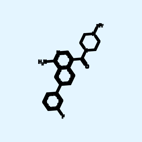 CCCN1CCN(C(=O)c2cnc(N)c3cc(-c4cccc(F)c4)ccc23)CC1